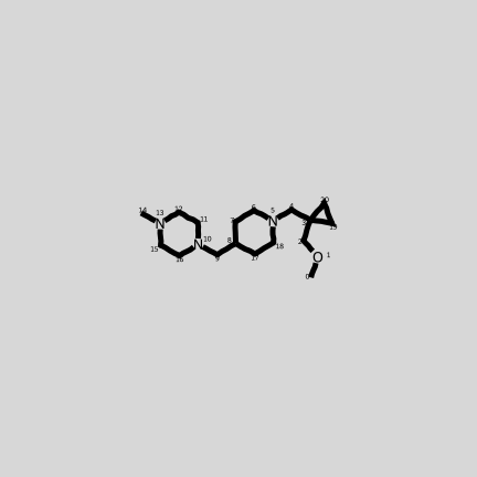 COCC1(CN2CCC(CN3CCN(C)CC3)CC2)CC1